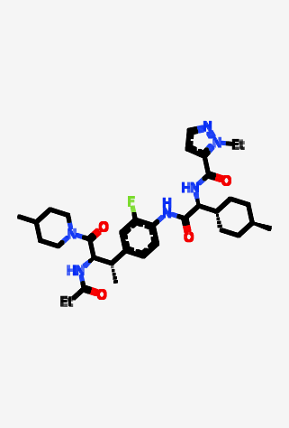 CCC(=O)N[C@@H](C(=O)N1CCC(C)CC1)[C@@H](C)c1ccc(NC(=O)[C@@H](NC(=O)c2ccnn2CC)[C@H]2CC[C@H](C)CC2)c(F)c1